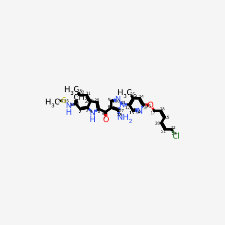 C=C(/C=c1/[nH]c(C(=O)c2cnn(-c3cnc(OC/C=C\C=C/CCl)cc3C)c2N)c/c1=C/CC)NSC